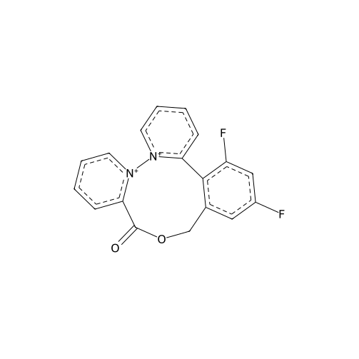 O=C1OCc2cc(F)cc(F)c2-c2cccc[n+]2-[n+]2ccccc21